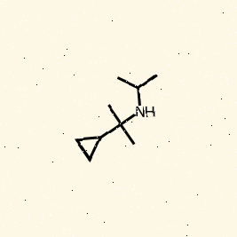 CC(C)NC(C)(C)C1CC1